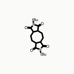 CC(C)(C)N1C(=O)C2CCC3C(=O)N(C(C)(C)C)C(=O)C3CCC2C1=O